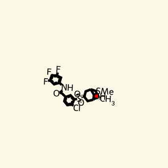 CS[C@@]1(O)C2C[C@@H](S(=O)(=O)c3cc(C(=O)Nc4cc(F)c(F)c(F)c4)ccc3Cl)CC1[C@@H](C)C2